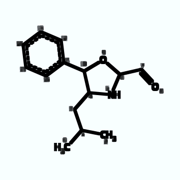 CC(C)CC1NC(C=O)OC1c1ccccc1